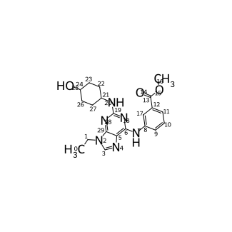 CCn1cnc2c(Nc3cccc(C(=O)OC)c3)nc(NC3CCC(O)CC3)nc21